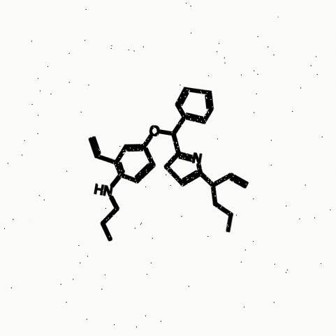 C=Cc1cc(OC(C2=NC(C(C=C)CCC)=CC2)c2ccccc2)ccc1NCCC